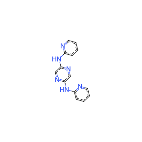 c1ccc(Nc2cnc(Nc3ccccn3)cn2)nc1